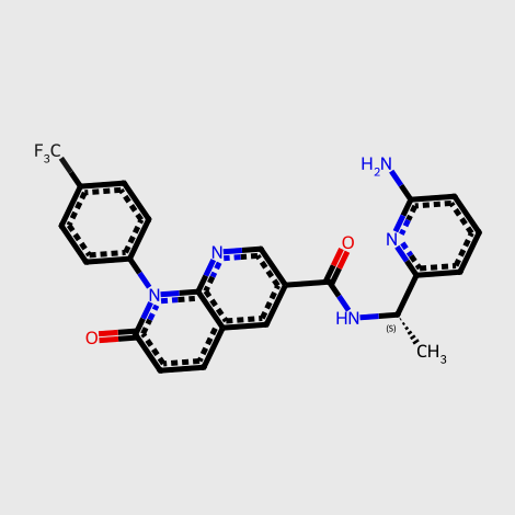 C[C@H](NC(=O)c1cnc2c(ccc(=O)n2-c2ccc(C(F)(F)F)cc2)c1)c1cccc(N)n1